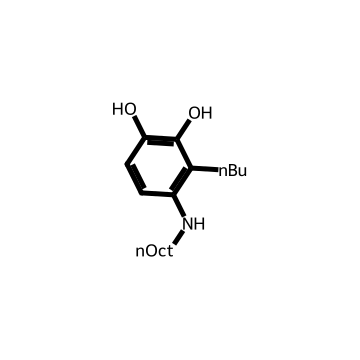 CCCCCCCCNc1ccc(O)c(O)c1CCCC